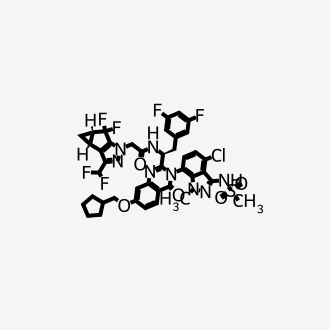 Cn1nc(NS(C)(=O)=O)c2c(Cl)ccc(-n3c([C@H](Cc4cc(F)cc(F)c4)NC(=O)Cn4nc(C(F)F)c5c4C(F)(F)[C@@H]4C[C@H]54)nc4cc(OCC5CCCC5)ccc4c3=O)c21